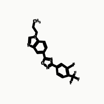 CCCn1cnc2cc(-c3nc(-c4ccc(C(F)(F)F)c(F)c4)no3)ccc21